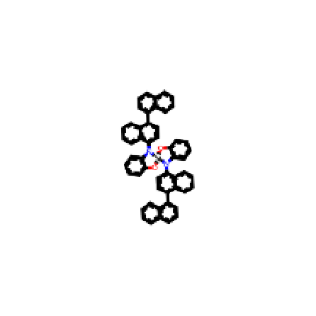 c1ccc2c(c1)O[Si]1(Oc3ccccc3N1c1ccc(-c3cccc4ccccc34)c3ccccc13)N2c1ccc(-c2cccc3ccccc23)c2ccccc12